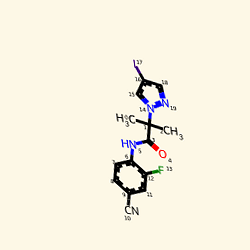 CC(C)(C(=O)Nc1ccc(C#N)cc1F)n1cc(I)cn1